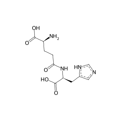 N[C@@H](CCC(=O)N[C@@H](Cc1cnc[nH]1)C(=O)O)C(=O)O